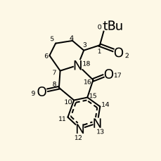 CC(C)(C)C(=O)C1CCCC2C(=O)c3cnncc3C(=O)N21